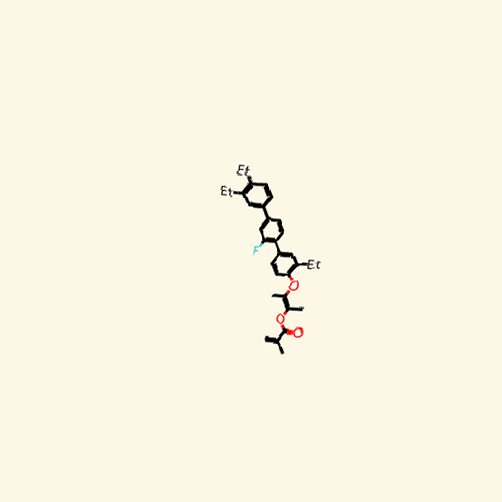 C=C(C)C(=O)O/C(C)=C(\C)Oc1ccc(-c2ccc(-c3ccc(CC)c(CC)c3)cc2F)cc1CC